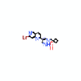 N=C/C(=C\NCC1(O)CCC1)c1ccc2cnc(Br)cc2n1